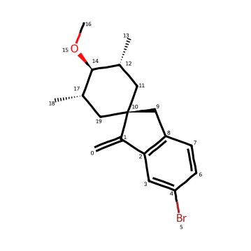 C=C1c2cc(Br)ccc2C[C@@]12C[C@@H](C)[C@H](OC)[C@@H](C)C2